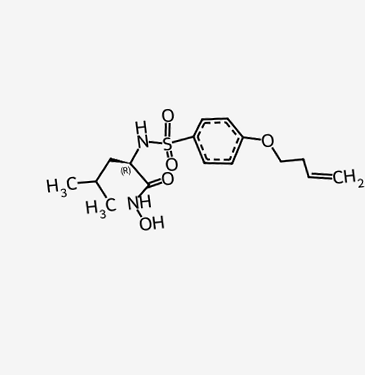 C=CCCOc1ccc(S(=O)(=O)N[C@H](CC(C)C)C(=O)NO)cc1